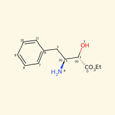 CCOC(=O)[C@@H](O)[C@@H](N)Cc1ccccc1